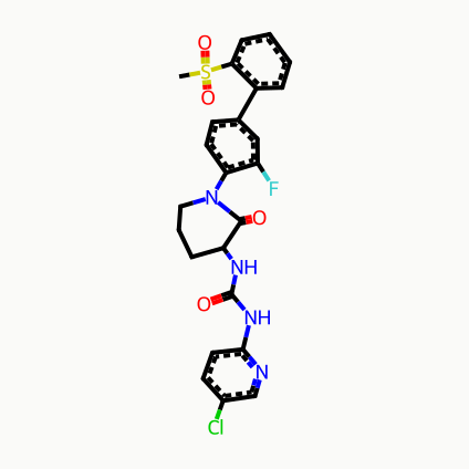 CS(=O)(=O)c1ccccc1-c1ccc(N2CCCC(NC(=O)Nc3ccc(Cl)cn3)C2=O)c(F)c1